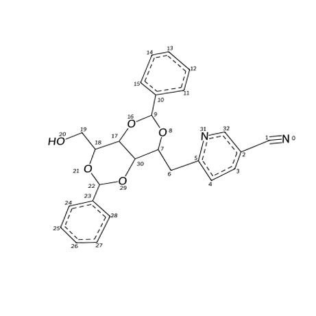 N#Cc1ccc(CC2OC(c3ccccc3)OC3C(CO)OC(c4ccccc4)OC23)nc1